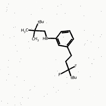 CC(C)(C)C(C)(C)CBc1cccc(CCC(F)(F)C(C)(C)C)c1